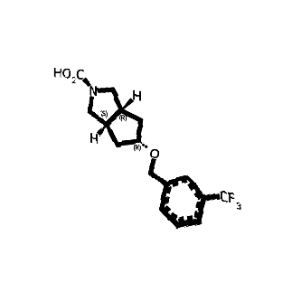 O=C(O)N1C[C@H]2C[C@@H](OCc3cccc(C(F)(F)F)c3)C[C@H]2C1